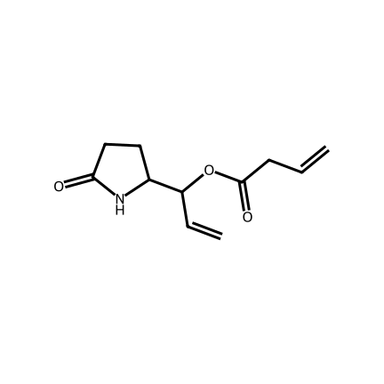 C=CCC(=O)OC(C=C)C1CCC(=O)N1